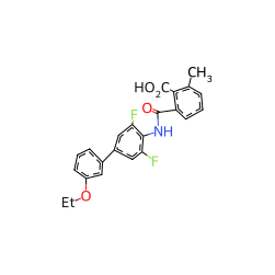 CCOc1cccc(-c2cc(F)c(NC(=O)c3cccc(C)c3C(=O)O)c(F)c2)c1